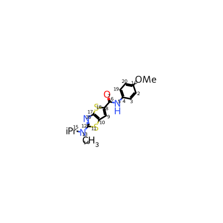 COc1ccc(NC(=O)c2cc3sc(N(C)C(C)C)nc3s2)cc1